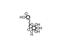 COc1ccc(CCc2cc(=O)c3c(o2)[C@H](O)[C@@H](O)[C@H](O)[C@H]3O)cc1O